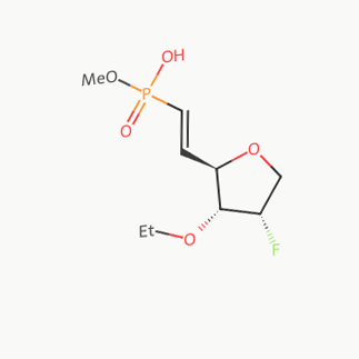 CCO[C@H]1[C@@H](F)CO[C@@H]1/C=C/P(=O)(O)OC